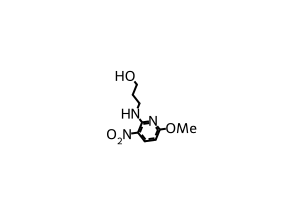 COc1ccc([N+](=O)[O-])c(NCCCO)n1